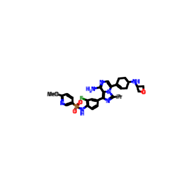 COc1ccc(S(=O)(=O)Nc2ccc(-c3nc(C(C)C)n4c(C5=CCC(NC6COC6)CC5)cnc(N)c34)cc2F)cn1